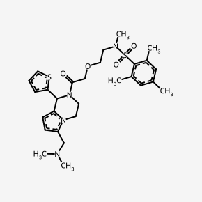 Cc1cc(C)c(S(=O)(=O)N(C)CCOCC(=O)N2CCn3c(CN(C)C)ccc3C2c2cccs2)c(C)c1